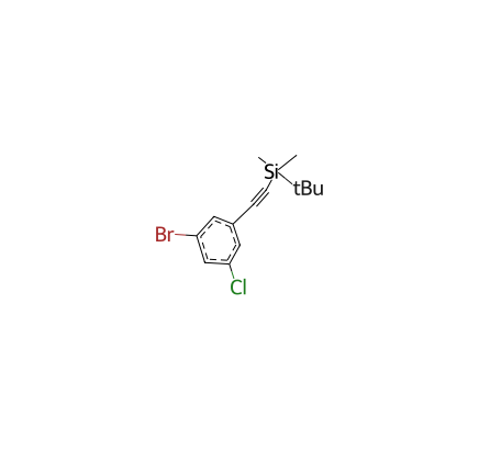 CC(C)(C)[Si](C)(C)C#Cc1cc(Cl)cc(Br)c1